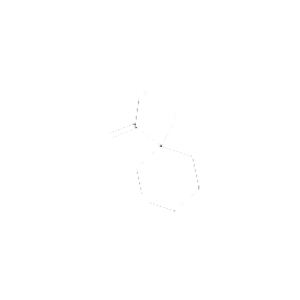 O=C(O)C1(F)CCCOC1